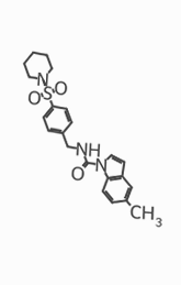 Cc1ccc2c(ccn2C(=O)NCc2ccc(S(=O)(=O)N3CCCCC3)cc2)c1